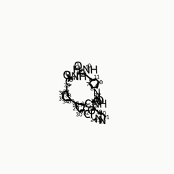 CNC(=O)[C@H]1Cc2ccc(cc2)NC(=O)C(NC(=O)c2ccnn2C)Cc2cc(ccc2Cl)-c2cccc(c2)CCC(=O)N1